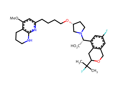 COc1cc(CCCCO[C@@H]2CCN([C@@H](C(=O)O)c3cc(F)cc4c3CC(C(C)(C)F)OC4)C2)nc2c1CCCN2